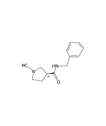 N#CN1CC[C@H](C(=O)NCc2ccccc2)C1